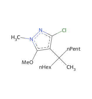 CCCCCCC(C)(CCCCC)c1c(Cl)nn(C)c1OC